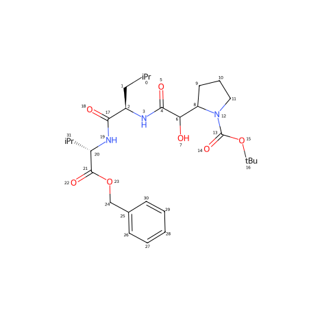 CC(C)C[C@@H](NC(=O)C(O)C1CCCN1C(=O)OC(C)(C)C)C(=O)N[C@H](C(=O)OCc1ccccc1)C(C)C